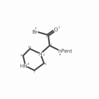 CCCCCC(C(=O)Br)N1CCNCC1